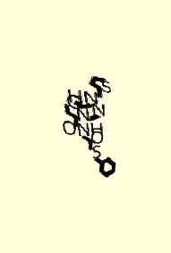 CCC(C(=O)NCC(=O)CSCc1ccccc1)n1ccnc(NCc2cccs2)c1=O